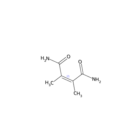 C/C(C(N)=O)=C(\C)C(N)=O